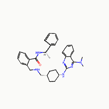 C[C@H](NC(=O)c1ccccc1CNC[C@H]1CC[C@@H](Nc2nc(N(C)C)c3ccccc3n2)CC1)c1ccccc1